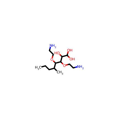 CCCC(C)C(OCCN)C(OCCN)C(O)C(O)O